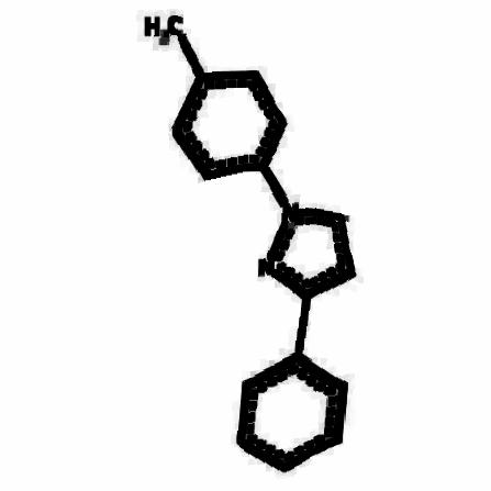 Cc1ccc(-n2[c]cc(-c3ccccc3)n2)cc1